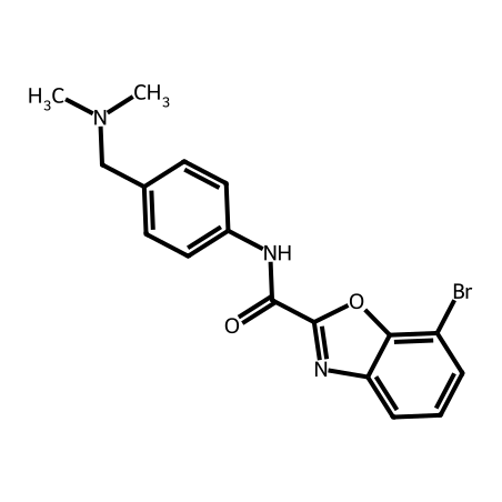 CN(C)Cc1ccc(NC(=O)c2nc3cccc(Br)c3o2)cc1